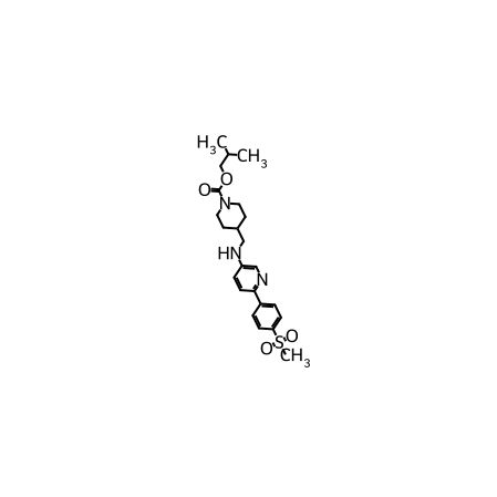 CC(C)COC(=O)N1CCC(CNc2ccc(-c3ccc(S(C)(=O)=O)cc3)nc2)CC1